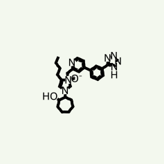 CCCCC1=CN(C2CCCCCC2O)C[N+]1([O-])Cc1cc(-c2cccc(-c3nnn[nH]3)c2)ccn1